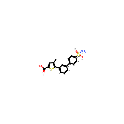 Cc1cc(C(=O)O)sc1-c1cccc(-c2ccc(S(N)(=O)=O)cc2)c1